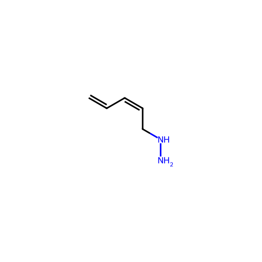 C=C/C=C\CNN